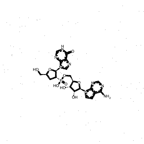 Nc1ncnc2c1ccn2[C@@H]1O[C@H](COP(=O)(O)[C@@H]2C[C@@H](CO)O[C@H]2n2cnc3c(=O)[nH]cnc32)[C@@H](O)[C@H]1O